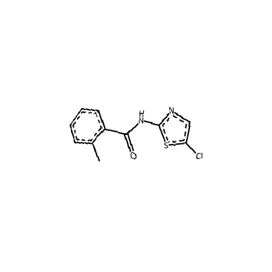 Cc1ccccc1C(=O)Nc1ncc(Cl)s1